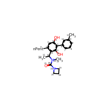 CCCCCc1cc(O)c(-c2cccc(C)c2)c(O)c1C(C)N(C)C(=O)N1CCC1